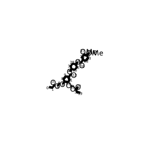 C=CC(=O)OCOc1ccc(C(=O)OC2CCC(OC(=O)c3ccc(OC)c(OC)c3)CC2)cc1OCOC(=O)C=C